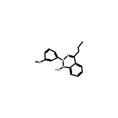 CCCC1=NN(c2cccc(SC)c2)B(O)c2ccccc21